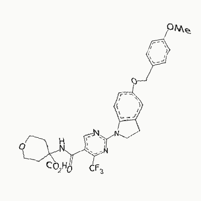 COc1ccc(COc2ccc3c(c2)CCN3c2ncc(C(=O)NC3(C(=O)O)CCOCC3)c(C(F)(F)F)n2)cc1